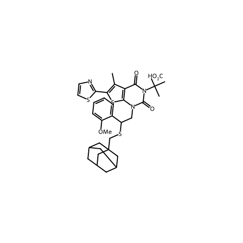 COc1ccccc1C(Cn1c(=O)n(C(C)(C)C(=O)O)c(=O)c2c(C)c(-c3nccs3)sc21)SCC12CC3CC(CC(C3)C1)C2